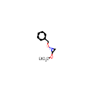 CCOC(=O)OC1CN1OCc1ccccc1